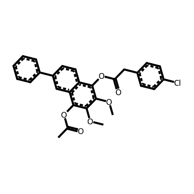 COc1c(OC)c(OC(=O)Cc2ccc(Cl)cc2)c2ccc(-c3ccccc3)cc2c1OC(C)=O